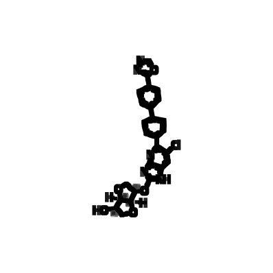 O[C@@H]1CO[C@H]2[C@@H]1OC[C@H]2Oc1nc2nc(-c3ccc(-c4ccc(-c5nnco5)cc4)cc3)c(Cl)cc2[nH]1